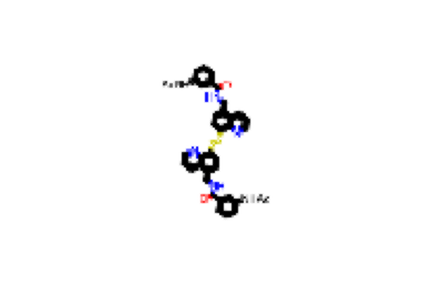 CC(=O)Nc1cccc(C(=O)NCc2ccc(SSc3ccc(CNC(=O)c4cccc(NC(C)=O)c4)c4cccnc34)c3ncccc23)c1